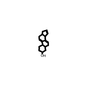 OC1CCC2C3=CCC4CC=CC4C3=CCC2C1